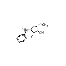 CC[C@H]1C[C@@H](Nc2ccncn2)[C@@H](F)[C@@H]1O